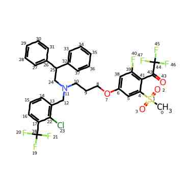 CS(=O)(=O)c1cc(OCCCN(Cc2cccc(C(F)(F)F)c2Cl)CC(c2ccccc2)c2ccccc2)cc(F)c1C(=O)C(F)(F)F